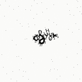 CC(C)(C)OC(=O)NCC[C@@H](C(=O)N1CCCCC1)c1ccccc1